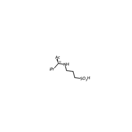 CC(=O)[C@@H](NCCCS(=O)(=O)O)C(C)C